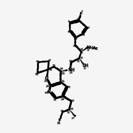 CC(=O)N[C@@H](Cc1ccc(F)cc1)[C@H](O)CN[C@H]1CC2(CCC2)Oc2ncc(C[C@H](C)CF)cc21